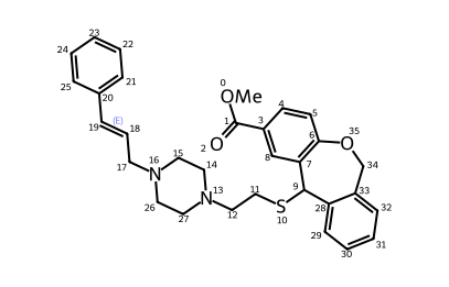 COC(=O)c1ccc2c(c1)C(SCCN1CCN(C/C=C/c3ccccc3)CC1)c1ccccc1CO2